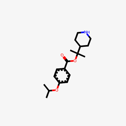 CC(C)Oc1ccc(C(=O)OC(C)(C)C2CCNCC2)cc1